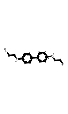 FCCOc1ccc(-c2ccc(OCCF)cc2)cc1